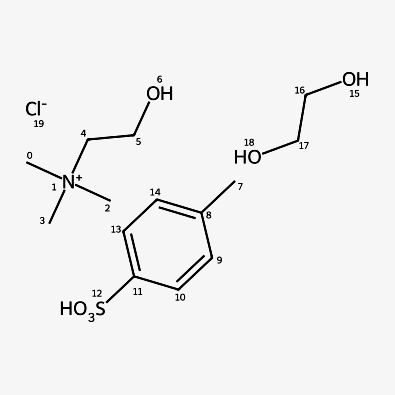 C[N+](C)(C)CCO.Cc1ccc(S(=O)(=O)O)cc1.OCCO.[Cl-]